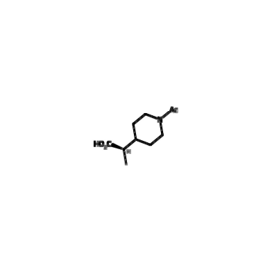 CC(=O)N1CCC([C@@H](C)C(=O)O)CC1